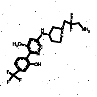 Cc1cc(N[C@@H]2CCCN(CC(F)(F)CN)C2)nnc1-c1ccc(C(F)(F)F)cc1O